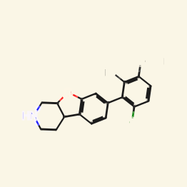 CC(C)c1c(S(=O)(=O)O)ccc(Cl)c1-c1ccc2c(c1)OC1CNCCC21